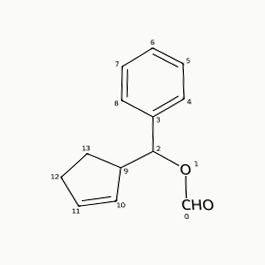 O=COC(c1ccccc1)C1C=CCC1